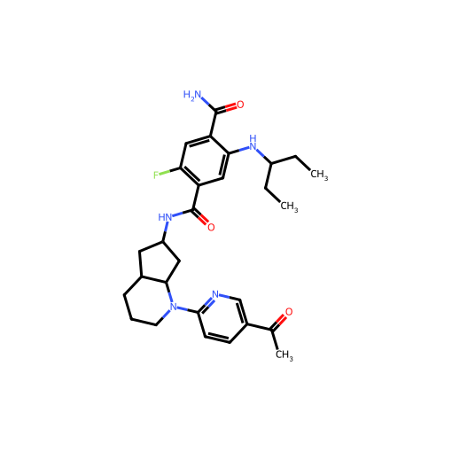 CCC(CC)Nc1cc(C(=O)NC2CC3CCCN(c4ccc(C(C)=O)cn4)C3C2)c(F)cc1C(N)=O